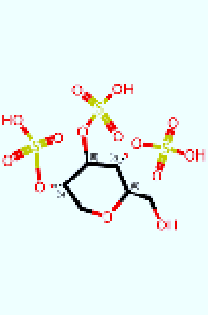 O=S(=O)(O)O[C@H]1[C@H](OS(=O)(=O)O)[C@@H](CO)OC[C@@H]1OS(=O)(=O)O